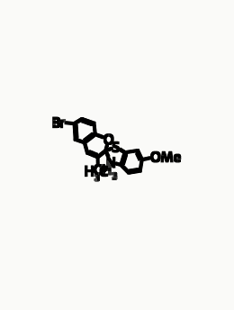 COc1ccc2c(c1)SC1(Oc3ccc(Br)cc3C=C1C)N2C